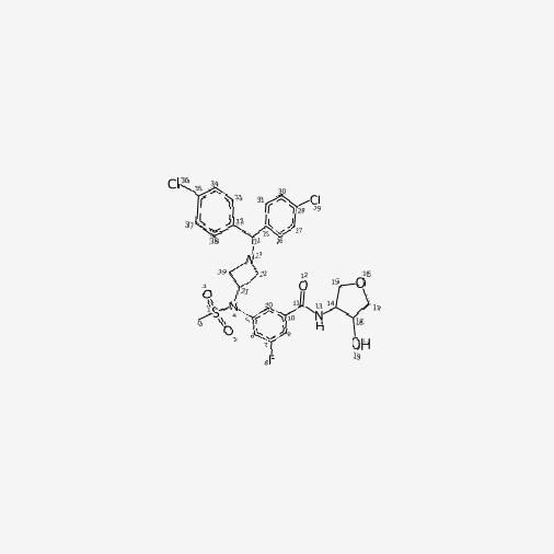 CS(=O)(=O)N(c1cc(F)cc(C(=O)NC2COCC2O)c1)C1CN(C(c2ccc(Cl)cc2)c2ccc(Cl)cc2)C1